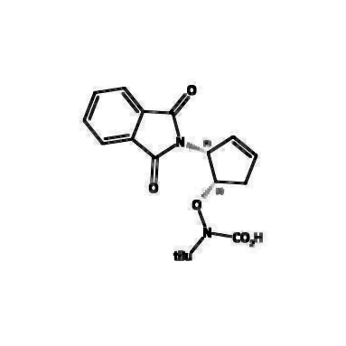 CC(C)(C)N(O[C@H]1CC=C[C@H]1N1C(=O)c2ccccc2C1=O)C(=O)O